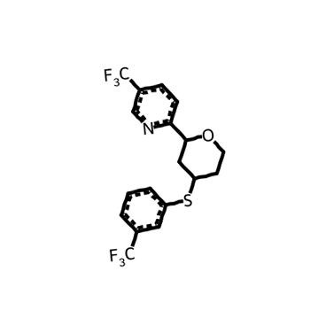 FC(F)(F)c1ccc(C2CC(Sc3cccc(C(F)(F)F)c3)CCO2)nc1